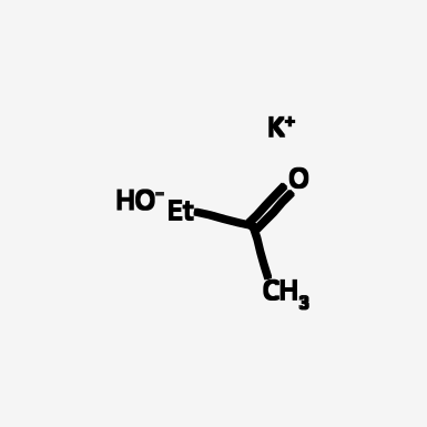 CCC(C)=O.[K+].[OH-]